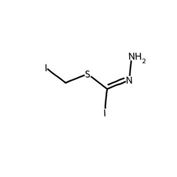 N/N=C(/I)SCI